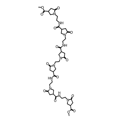 COC(=O)C1CC(=O)N(CCNC(=O)C2CC(=O)N(CCNC(=O)C3CC(=O)N(CCN4CC(C(=O)NCCN5CC(C(=O)NCCN6CC(C(=O)OC)CC6=O)CC5=O)CC4=O)C3)C2)C1